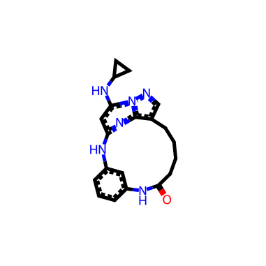 O=C1CCCCc2cnn3c(NC4CC4)cc(nc23)Nc2cccc(c2)N1